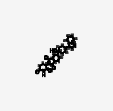 O=C1CCC(N2C(=O)c3ccc(C4(O)CCN(c5cnn6ccccc56)CC4)cc3C2=O)C(=O)N1